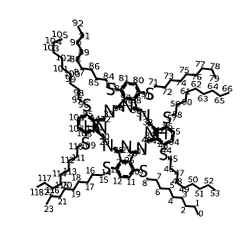 CCCCCCCCCSc1ccc(SCCCCCCCCC)c2c1-c1nc-2nc2[nH]c(nc3nc(nc4[nH]c(n1)c1c(SCCCCCCCCC)ccc(SCCCCCCCCC)c41)-c1c(SCCCCCCCCC)ccc(SCCCCCCCCC)c1-3)c1c(SCCCCCCCCC)ccc(SCCCCCCCCC)c21